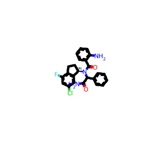 NC(=O)C(c1ccccc1)N(C(=O)c1ccccc1N)[C@@H]1CCc2c(F)cc(Cl)cc21